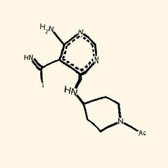 CC(=O)N1CCC(Nc2ncnc(N)c2C(=N)I)CC1